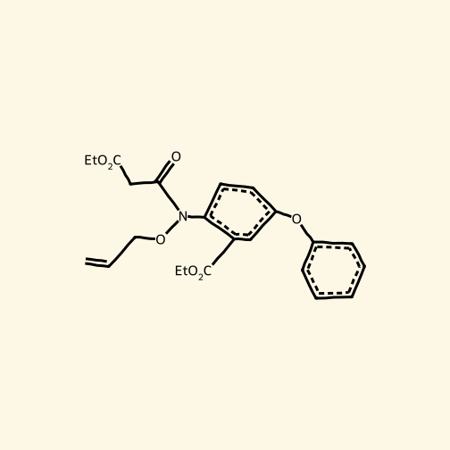 C=CCON(C(=O)CC(=O)OCC)c1ccc(Oc2ccccc2)cc1C(=O)OCC